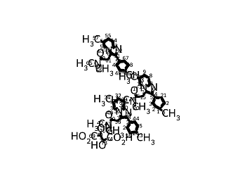 Cc1ccc(-c2nc3ccc(C)cn3c2CC(=O)N(C)C)cc1.Cc1ccc(-c2nc3ccc(C)cn3c2CC(=O)N(C)C)cc1.Cc1ccc(-c2nc3ccc(C)cn3c2CC(=O)N(C)C)cc1.O=C(O)C(O)C(O)C(=O)O